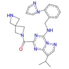 CC(C)c1cnn2c(NCc3ccccc3-n3cccn3)nc(C(=O)N3CC4(CNC4)C3)nc12